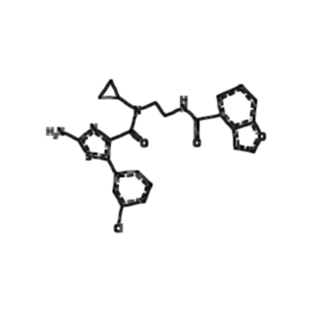 Nc1nc(C(=O)N(CCNC(=O)c2cccc3occc23)C2CC2)c(-c2cccc(Cl)c2)s1